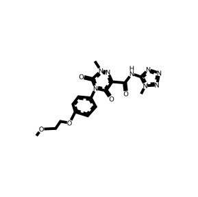 COCCOc1ccc(-n2c(=O)c(C(=O)Nc3nnnn3C)nn(C)c2=O)cc1